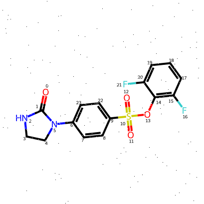 O=C1NCCN1c1ccc(S(=O)(=O)Oc2c(F)cccc2F)cc1